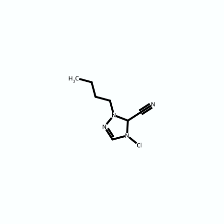 CCCCN1N=CN(Cl)C1C#N